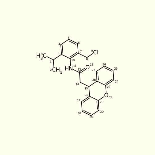 CC(C)c1cccc(CCl)c1NC(=O)CC1c2ccccc2Oc2ccccc21